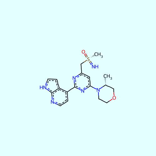 C[C@@H]1COCCN1c1cc(C[S@](C)(=N)=O)nc(-c2ccnc3[nH]ccc23)n1